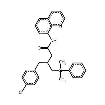 C[Si](C)(CC(CC(=O)Nc1cccc2cccnc12)Cc1ccc(Cl)cc1)c1ccccc1